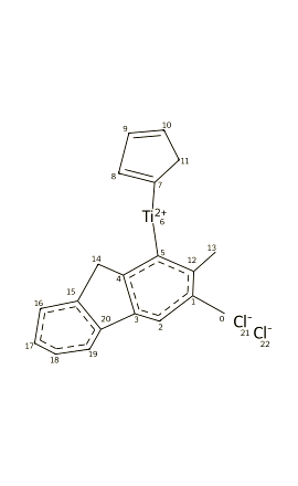 Cc1cc2c([c]([Ti+2][C]3=CC=CC3)c1C)Cc1ccccc1-2.[Cl-].[Cl-]